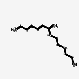 CCCCCCC(C)OCCOCCO